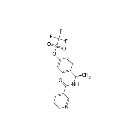 C[C@@H](NC(=O)c1cccnc1)c1ccc(OS(=O)(=O)C(F)(F)F)cc1